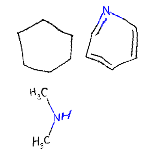 C1CCCCC1.CNC.c1ccncc1